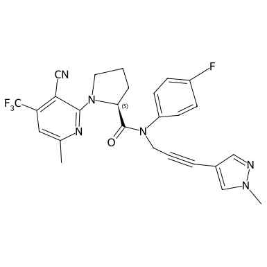 Cc1cc(C(F)(F)F)c(C#N)c(N2CCC[C@H]2C(=O)N(CC#Cc2cnn(C)c2)c2ccc(F)cc2)n1